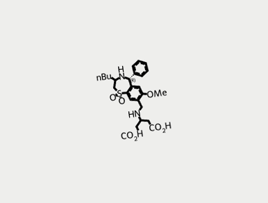 CCCCC1CS(=O)(=O)c2cc(CNC(CC(=O)O)CC(=O)O)c(OC)cc2[C@@H](c2ccccc2)N1